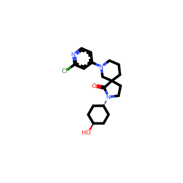 O=C1N([C@H]2CC[C@H](O)CC2)CCC12CCCN(c1ccnc(Cl)c1)C2